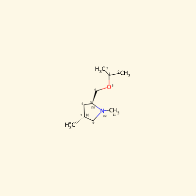 CC(C)OC[C@@H]1C[C@@H](C)CN1C